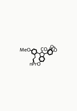 C=CCc1cc(OC)ccc1C1c2cc(OCCC)ccc2C(c2ccc3c(c2)OCO3)C1C(=O)O